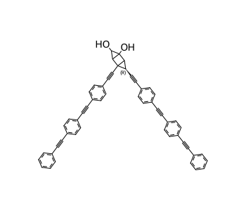 OC1C2C1(O)C1[C@@H](C#Cc3ccc(C#Cc4ccc(C#Cc5ccccc5)cc4)cc3)C21C#Cc1ccc(C#Cc2ccc(C#Cc3ccccc3)cc2)cc1